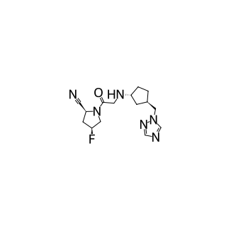 N#C[C@@H]1C[C@H](F)CN1C(=O)CN[C@@H]1CC[C@@H](Cn2cncn2)C1